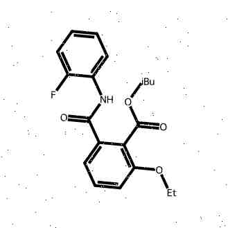 CCOc1cccc(C(=O)Nc2ccccc2F)c1C(=O)OC(C)CC